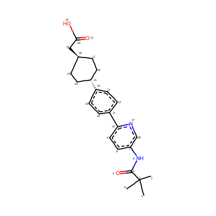 CC(C)(C)C(=O)Nc1ccc(-c2ccc([C@H]3CC[C@H](CC(=O)O)CC3)cc2)nc1